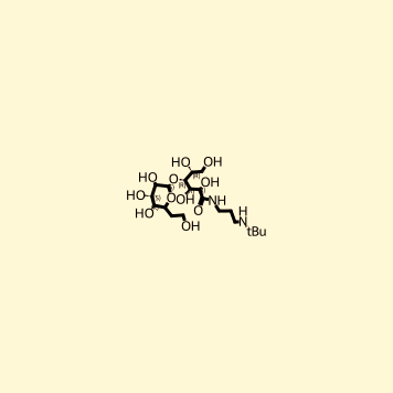 CC(C)(C)NCCCNC(=O)[C@H](O)[C@@H](O)[C@H](O[C@@H]1OC(CCO)[C@H](O)[C@H](O)C1O)[C@H](O)CO